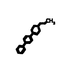 CCCC1CC=C(c2ccc(-c3ccccc3)cc2)CC1